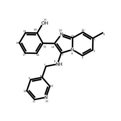 Cc1ccn2c(NCc3cccnc3)c(-c3ccccc3O)nc2c1